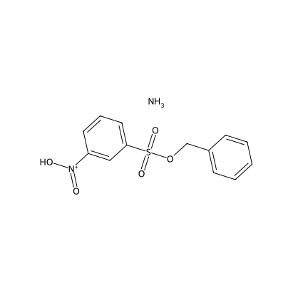 N.O=[N+](O)c1cccc(S(=O)(=O)OCc2ccccc2)c1